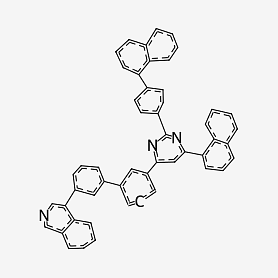 c1cc(-c2cccc(-c3cncc4ccccc34)c2)cc(-c2cc(-c3cccc4ccccc34)nc(-c3ccc(-c4cccc5ccccc45)cc3)n2)c1